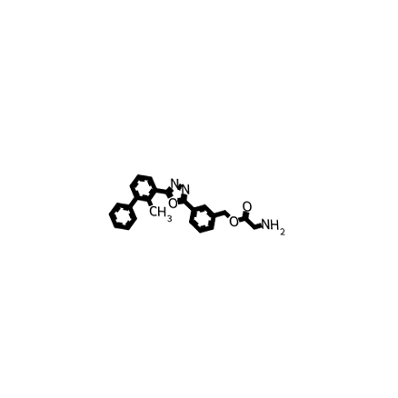 Cc1c(-c2ccccc2)cccc1-c1nnc(-c2cccc(COC(=O)CN)c2)o1